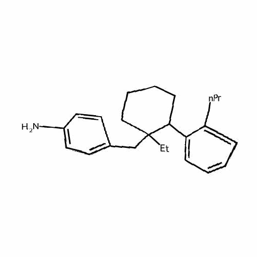 CCCc1ccccc1C1CCCCC1(CC)Cc1ccc(N)cc1